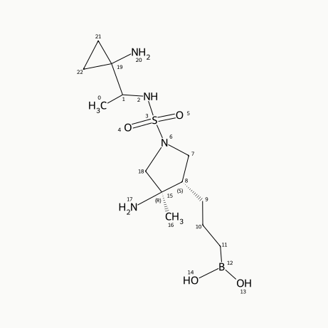 CC(NS(=O)(=O)N1C[C@H](CCCB(O)O)[C@@](C)(N)C1)C1(N)CC1